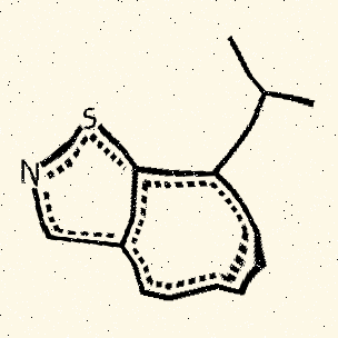 CC(C)c1cccc2cnsc12